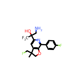 CC1(CF)COc2c1cc(C(O)(CN)C(F)(F)F)nc2-c1ccc(F)cc1